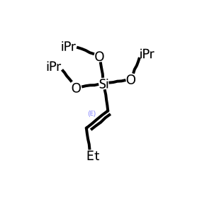 CC/C=C/[Si](OC(C)C)(OC(C)C)OC(C)C